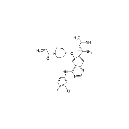 C=CC(=O)N1CCC(Oc2cc3c(Nc4ccc(F)c(Cl)c4)ncnc3cc2/C(N)=C/C(C)=N)CC1